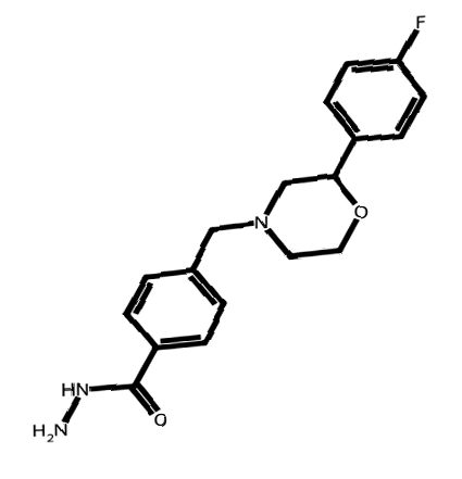 NNC(=O)c1ccc(CN2CCOC(c3ccc(F)cc3)C2)cc1